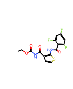 CCOC(=O)NC(=O)c1ccsc1NC(=O)c1c(F)cc(F)cc1F